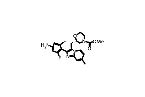 COC(=O)N1CCO[C@@H](Cc2c(-c3c(F)cc(N)cc3F)nc3cc(C)ccn23)C1